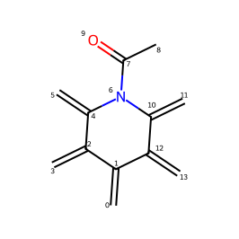 C=C1C(=C)C(=C)N(C(C)=O)C(=C)C1=C